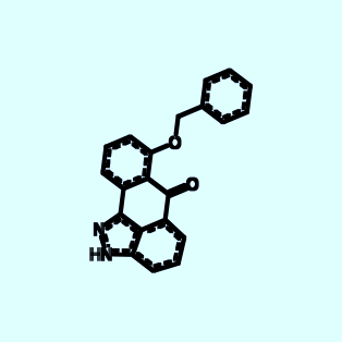 O=C1c2c(OCc3ccccc3)cccc2-c2n[nH]c3cccc1c23